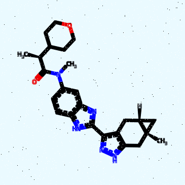 C[C@H](C(=O)N(C)c1ccc2[nH]c(-c3n[nH]c4c3C[C@@H]3C[C@]3(C)C4)nc2c1)C1CCOCC1